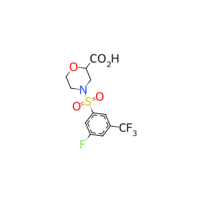 O=C(O)C1CN(S(=O)(=O)c2cc(F)cc(C(F)(F)F)c2)CCO1